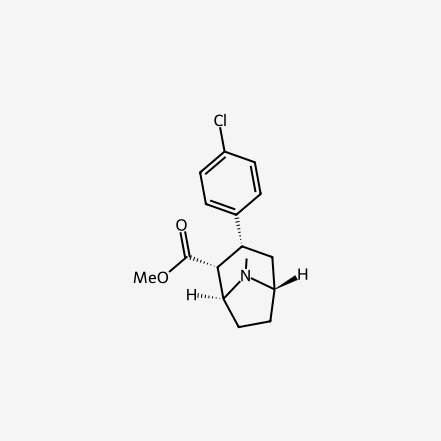 COC(=O)[C@@H]1[C@H](c2ccc(Cl)cc2)C[C@@H]2CC[C@@H]1N2C